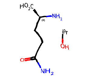 CC(C)O.NC(=O)CC[C@H](N)C(=O)O